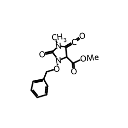 COC(=O)C1C(=C=O)N(C)C(=O)N1OCc1ccccc1